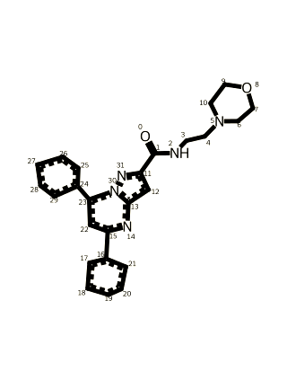 O=C(NCCN1CCOCC1)c1cc2nc(-c3ccccc3)cc(-c3ccccc3)n2n1